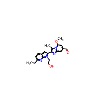 CCc1ccc2cc(-c3nc4cc(C=O)cc(OC)n4c3C)n(CCO)c2n1